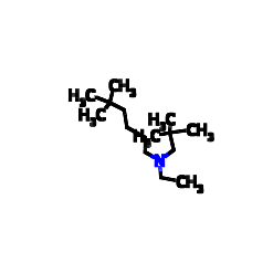 CCN(CCCCC(C)(C)C)CC(C)(C)C